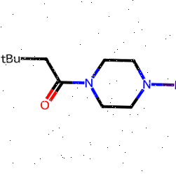 CC(C)(C)CC(=O)N1CCN(I)CC1